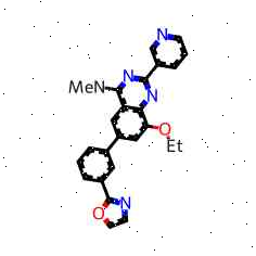 CCOc1cc(-c2cccc(-c3ncco3)c2)cc2c(NC)nc(-c3cccnc3)nc12